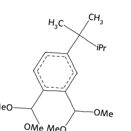 COC(OC)c1ccc(C(C)(C)C(C)C)cc1C(OC)OC